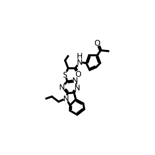 CCCn1c2ccccc2c2nnc(SC(CC)C(=O)Nc3cccc(C(C)=O)c3)nc21